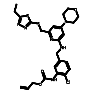 C=CCOC(=O)Nc1cc(CNc2cc(N3CCOCC3)cc(CSc3nnc(CC)s3)n2)ccc1Cl